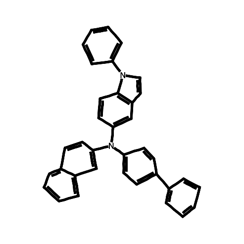 c1ccc(-c2ccc(N(c3ccc4ccccc4c3)c3ccc4c(ccn4-c4ccccc4)c3)cc2)cc1